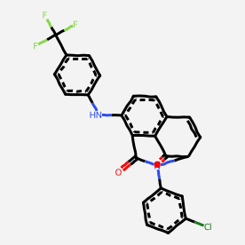 O=C1c2c3ccc(Nc4ccc(C(F)(F)F)cc4)c2C(=O)N(c2cccc(Cl)c2)C1C=C3